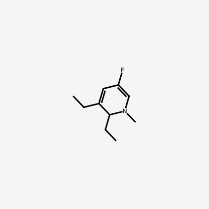 CCC1=CC(F)=CN(C)C1CC